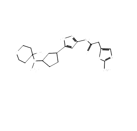 COc1ncc(CC(=O)Nc2cc(C3CCC(N(C(=O)O)C4(C)CCOCC4)C3)[nH]n2)s1